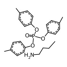 CCCCN.Cc1ccc(OP(=O)(Oc2ccc(C)cc2)Oc2ccc(C)cc2)cc1